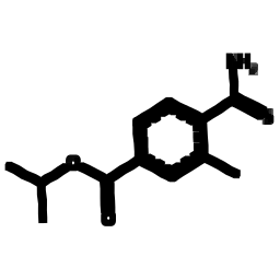 Cc1cc(C(=O)OC(C)C)ccc1C(N)=S